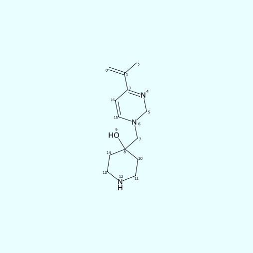 C=C(C)C1=NCN(CC2(O)CCNCC2)C=C1